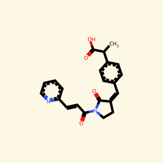 CC(C(=O)O)c1ccc(C=C2CCN(C(=O)C=Cc3ccccn3)C2=O)cc1